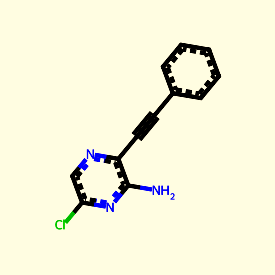 Nc1nc(Cl)cnc1C#Cc1ccccc1